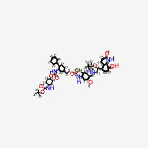 COc1cc(NC(=O)OCCc2ccc(-c3ccccc3)c(NC(=O)O[C@H]3CC[C@H](NC(=O)OC(C)(C)C)CC3)c2)c(Cl)cc1CNCC(O[Si](C)(C)C(C)(C)C)c1ccc(O)c2[nH]c(=O)ccc12